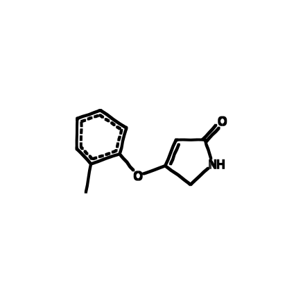 Cc1ccccc1OC1=CC(=O)NC1